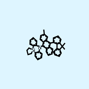 Cc1ccc2c(N3c4ccccc4[Si]4(CCCC4)c4ccccc43)c3ccccc3c(-c3cccc4c3-c3ccccc3C4(C)C)c2c1